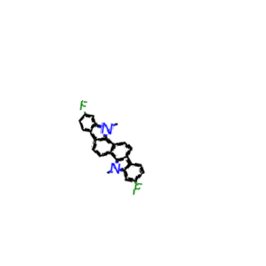 Cn1c2cc(F)ccc2c2ccc3c(ccc4c5ccc(F)cc5n(C)c43)c21